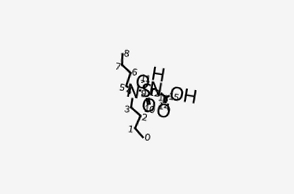 CCCCN(CCCC)S(=O)(=O)NC(=O)O